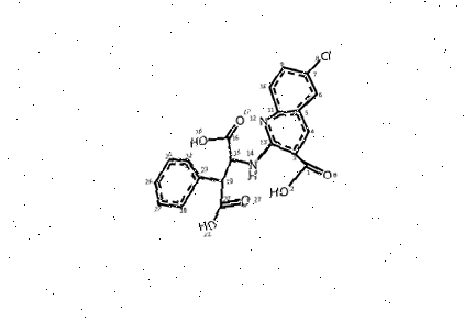 O=C(O)c1cc2cc(Cl)ccc2nc1NC(C(=O)O)C(C(=O)O)c1ccccc1